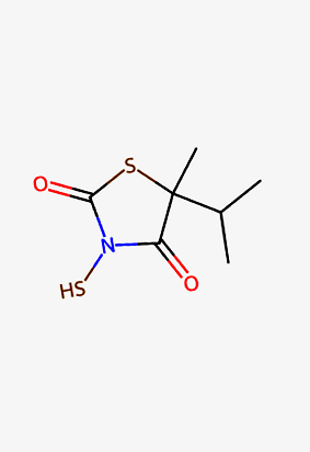 CC(C)C1(C)SC(=O)N(S)C1=O